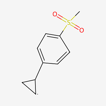 CS(=O)(=O)c1ccc(C2[CH]C2)cc1